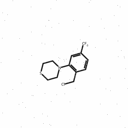 FC(F)(F)c1ccc(CCl)c(N2CCSCC2)c1